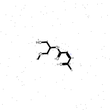 COCC(CO)OC(=O)/C=C\C(C)=O